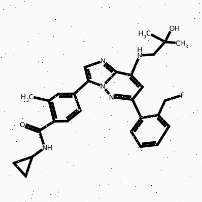 Cc1cc(-c2cnc3c(NCC(C)(C)O)cc(-c4ccccc4CF)nn23)ccc1C(=O)NC1CC1